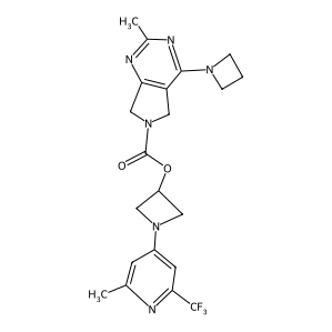 Cc1cc(N2CC(OC(=O)N3Cc4nc(C)nc(N5CCC5)c4C3)C2)cc(C(F)(F)F)n1